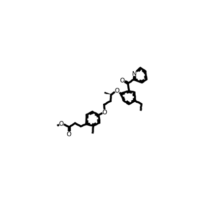 CCc1ccc(O[C@H](C)CCOc2ccc(CCC(=O)OC)c(C)c2)c(C(=O)c2ccccn2)c1